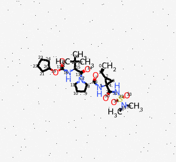 C=CC1C[C@]1(NC(=O)[C@@H]1CCCN1C(=O)[C@@H](NC(=O)OC1CCCC1)C(C)(C)C)C(=O)NS(=O)(=O)N(C)C